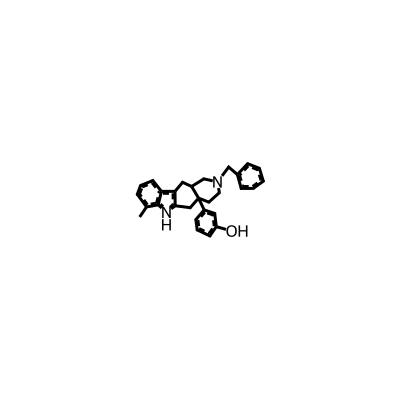 Cc1cccc2c3c([nH]c12)CC1(c2cccc(O)c2)CCN(Cc2ccccc2)CC1C3